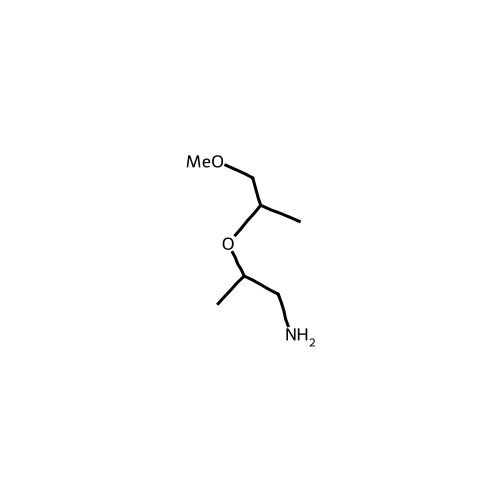 COCC(C)OC(C)CN